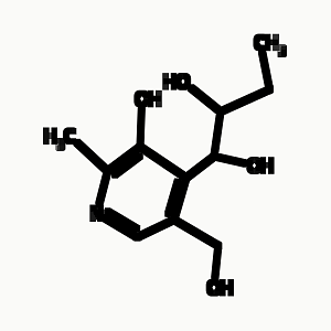 CCC(O)C(O)c1c(CO)cnc(C)c1O